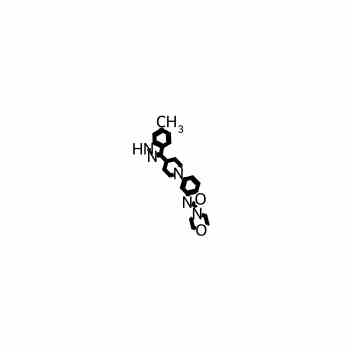 Cc1ccc2c(C3CCN(c4ccc5oc(N6CCOCC6)nc5c4)CC3)n[nH]c2c1